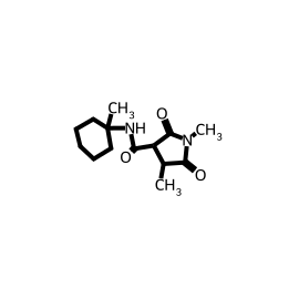 CC1C(=O)N(C)C(=O)C1C(=O)NC1(C)CCCCC1